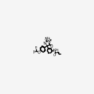 CC=CC(=O)Nc1cccc(C2(c3ccc(OC(F)F)cc3)N=C(N)N(C)C2=O)c1